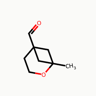 CC12CC(C=O)(CCO1)C2